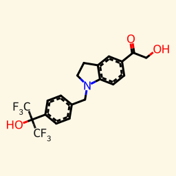 O=C(CO)c1ccc2c(c1)CCN2Cc1ccc(C(O)(C(F)(F)F)C(F)(F)F)cc1